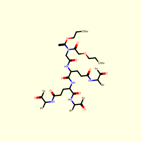 [2H]C(=O)C(NC(=O)CCC(NC(=O)CN(C(=C)OCCOC)C(=O)COCCOC)C(=O)NC(CCC(=O)NC(C([2H])=O)C(C)C)C(=O)NC(C([2H])=O)C(C)C)C(C)C